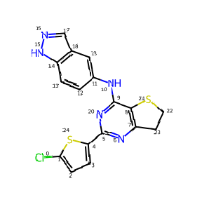 Clc1ccc(-c2nc3c(c(Nc4ccc5[nH]ncc5c4)n2)SCC3)s1